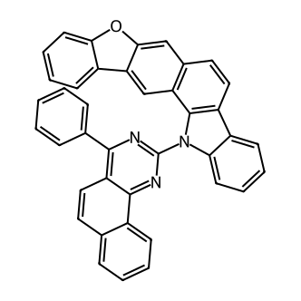 c1ccc(-c2nc(-n3c4ccccc4c4ccc5cc6oc7ccccc7c6cc5c43)nc3c2ccc2ccccc23)cc1